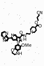 COc1cc2c(cc1-n1nc(C(=O)NCCN3CCC(C(=O)OCCCC#N)CC3)c3cnc(-c4cnn5cccnc45)cc31)OCCN2